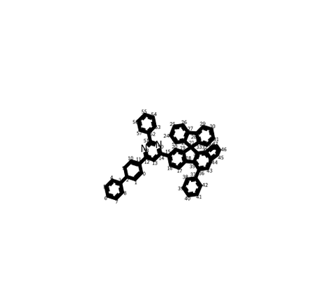 C1=CC(c2ccccc2)CC=C1c1cc(-c2ccc3c(c2)C2(c4ccccc4-c4ccccc42)c2c-3c(-c3ccccc3)cc3ccccc23)nc(-c2ccccc2)n1